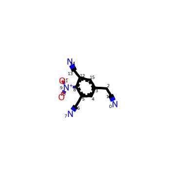 N#CCc1cc(C#N)c([N+](=O)[O-])c(C#N)c1